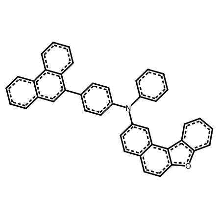 c1ccc(N(c2ccc(-c3cc4ccccc4c4ccccc34)cc2)c2ccc3ccc4oc5ccccc5c4c3c2)cc1